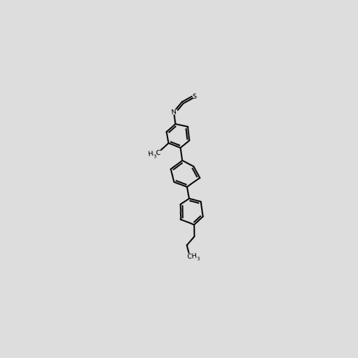 CCCc1ccc(-c2ccc(-c3ccc(N=C=S)cc3C)cc2)cc1